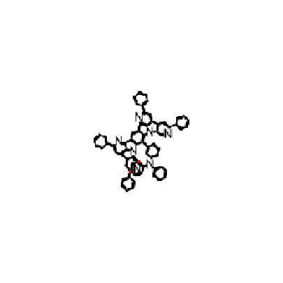 c1ccc(-c2cc3c4cc(-c5ccccc5)nc5c6cc7c8nc(-c9ccccc9)cc9c%10cc(-c%11ccccc%11)ncc%10n(c7c(-c7cccc(N(c%10ccccc%10)c%10ccccc%10)c7)c6n(c3cn2)c45)c98)cc1